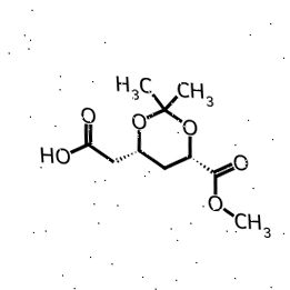 COC(=O)[C@@H]1C[C@H](CC(=O)O)OC(C)(C)O1